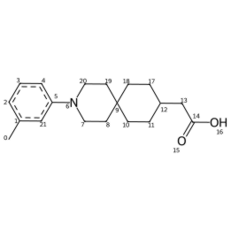 Cc1cccc(N2CCC3(CCC(CC(=O)O)CC3)CC2)c1